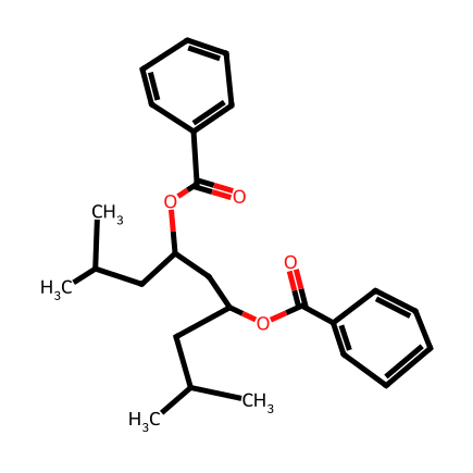 CC(C)CC(CC(CC(C)C)OC(=O)c1ccccc1)OC(=O)c1ccccc1